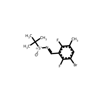 Cc1cc(Br)c(F)c(C=N[S@+]([O-])C(C)(C)C)c1F